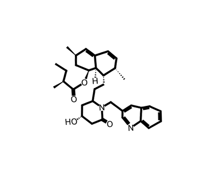 CC[C@H](C)C(=O)O[C@H]1C[C@@H](C)C=C2C=C[C@H](C)[C@H](CCC3C[C@@H](O)CC(=O)N3Cc3cnc4ccccc4c3)[C@H]21